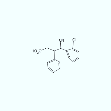 N#CC(c1ccccc1Cl)C(CC(=O)O)c1ccccc1